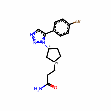 NC(=O)CC[C@@H]1CC[C@@H](n2nncc2-c2ccc(Br)cc2)C1